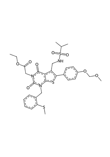 CCOC(=O)Cn1c(=O)c2c(CNS(=O)(=O)C(C)C)c(-c3ccc(OCOC)cc3)sc2n(Cc2ccccc2SC)c1=O